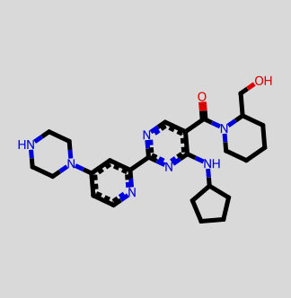 O=C(c1cnc(-c2cc(N3CCNCC3)ccn2)nc1NC1CCCC1)N1CCCCC1CO